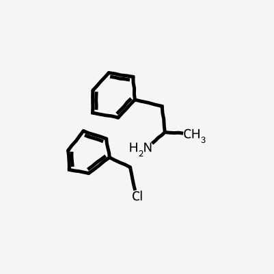 CC(N)Cc1ccccc1.ClCc1ccccc1